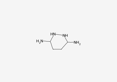 NC1CCC(N)NN1